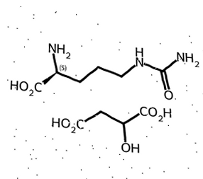 NC(=O)NCCC[C@H](N)C(=O)O.O=C(O)CC(O)C(=O)O